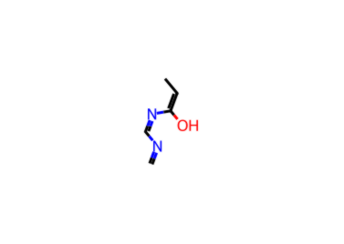 C=N/C=N\C(O)=C/C